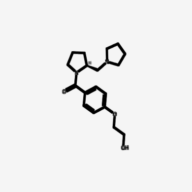 O=C(c1ccc(OCCO)cc1)N1CCC[C@H]1CN1CCCC1